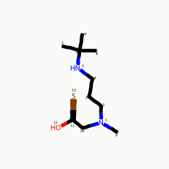 CN(CCCNC(C)(C)C)CC(O)=S